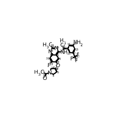 CC(=O)N1CC[C@H](Oc2cc3c(N[C@H](C)c4cc(N)cc(C(F)(F)F)c4)nc(C)nc3cc2F)C1